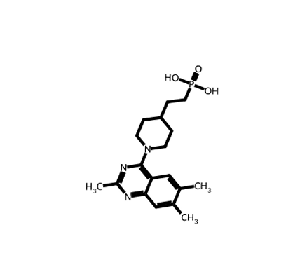 Cc1nc(N2CCC(CCP(=O)(O)O)CC2)c2cc(C)c(C)cc2n1